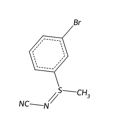 C/S(=N/C#N)c1cccc(Br)c1